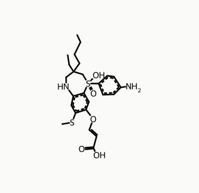 CCCCC1(CC)CNc2cc(SC)c(O/C=C/C(=O)O)cc2S(=O)(O)(c2ccc(N)cc2)C1